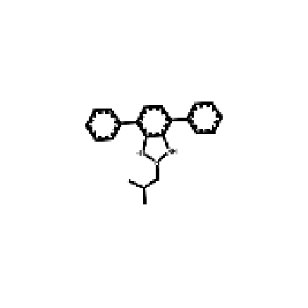 CC(C)CN1Nc2c(-c3ccccc3)ccc(-c3ccccc3)c2N1